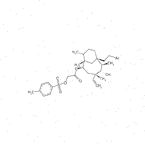 C=C[C@]1(C)C[C@@H](OC(=O)COS(=O)(=O)c2ccc(C)cc2)[C@@]2(C)C[C@](CCC(C)=O)(CCC2C)[C@@H](C)[C@@H]1O